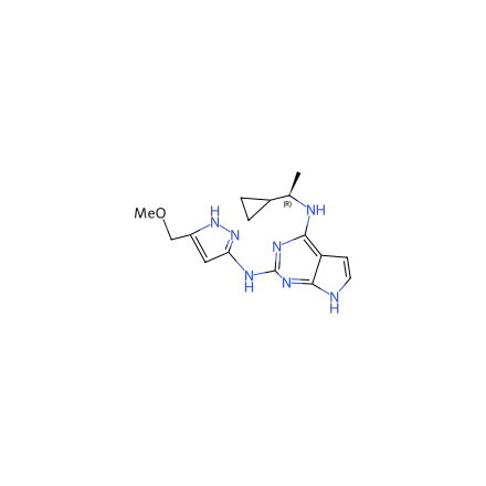 COCc1cc(Nc2nc(N[C@H](C)C3CC3)c3cc[nH]c3n2)n[nH]1